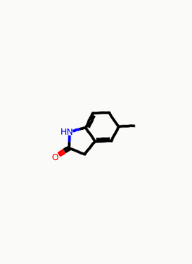 CC1C=C2CC(=O)NC2=CC1